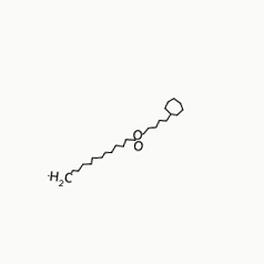 [CH2]CCCCCCCCCCCC(=O)OCCCCCC1CCCCCC1